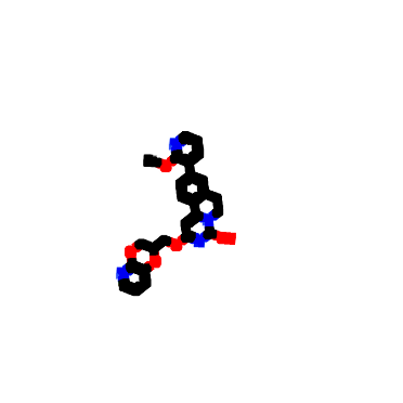 CCOc1ncccc1-c1ccc2c(c1)CCN1C2=CC(OCC2COc3ncccc3O2)=NC1O